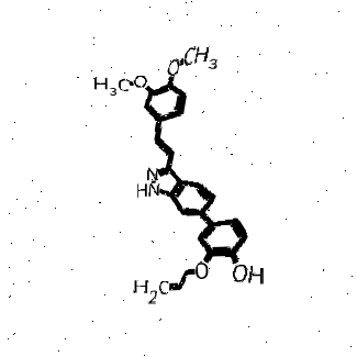 C=CCOc1cc(-c2ccc3c(C=Cc4ccc(OC)c(OC)c4)n[nH]c3c2)ccc1O